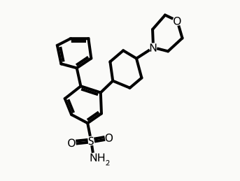 NS(=O)(=O)c1ccc(-c2ccccc2)c(C2CCC(N3CCOCC3)CC2)c1